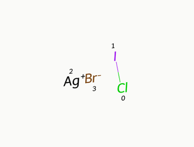 ClI.[Ag+].[Br-]